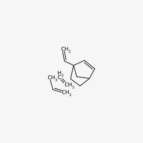 C=C.C=CC.C=CC12C=CC(CC1)C2